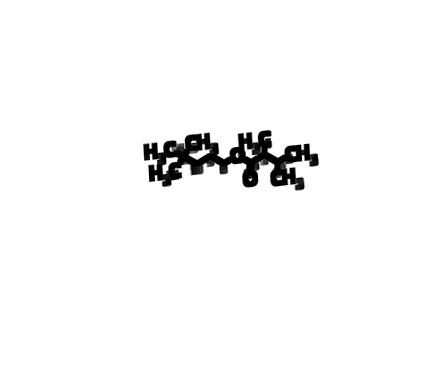 CC(C)C(C)C(=O)OCCCC(C)(C)C